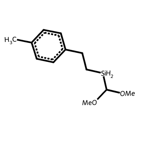 COC(OC)[SiH2]CCc1ccc(C)cc1